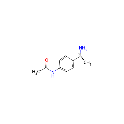 CC(=O)Nc1ccc([C@H](C)N)cc1